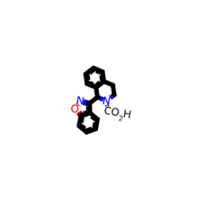 O=C(O)N1CCc2ccccc2C1c1noc2ccccc12